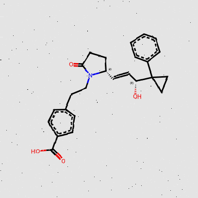 O=C(O)c1ccc(CCN2C(=O)CC[C@@H]2C=C[C@@H](O)C2(c3ccccc3)CC2)cc1